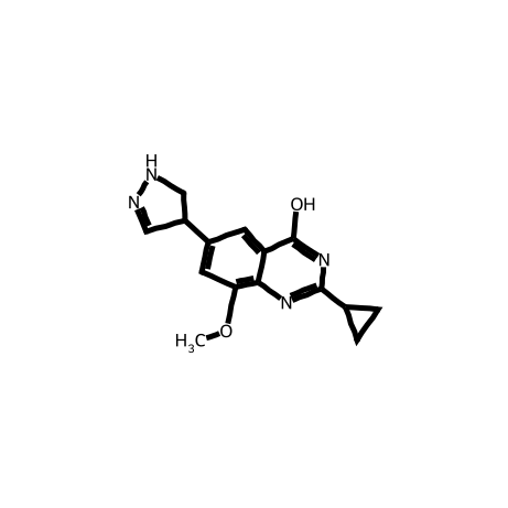 COc1cc(C2C=NNC2)cc2c(O)nc(C3CC3)nc12